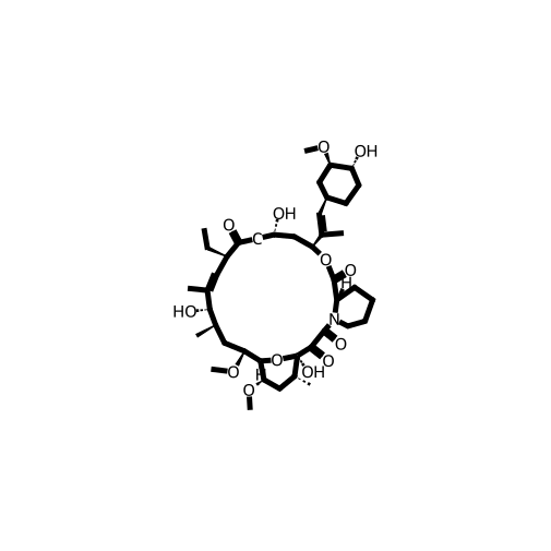 CC[C@@H]1/C=C(\C)[C@@H](O)[C@H](C)C[C@H](OC)[C@H]2O[C@@](O)(C(=O)C(=O)N3CCCC[C@H]3C(=O)O[C@H](/C(C)=C/[C@@H]3CC[C@@H](O)[C@H](OC)C3)C[C@@H](O)CC1=O)[C@H](C)C[C@@H]2OC